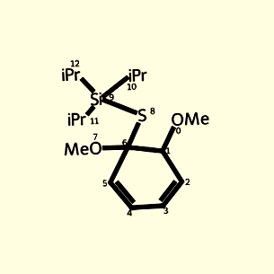 COC1C=CC=CC1(OC)S[Si](C(C)C)(C(C)C)C(C)C